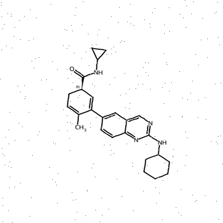 CC1=CC[C@@H](C(=O)NC2CC2)C=C1c1ccc2nc(NC3CCCCC3)ncc2c1